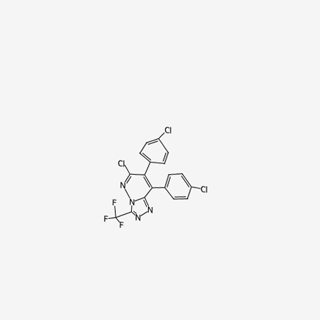 FC(F)(F)c1nnc2c(-c3ccc(Cl)cc3)c(-c3ccc(Cl)cc3)c(Cl)nn12